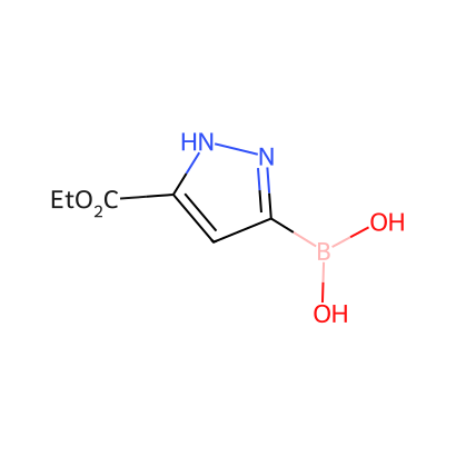 CCOC(=O)c1cc(B(O)O)n[nH]1